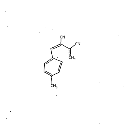 C=C(C#N)C(C#N)=Cc1ccc(C)cc1